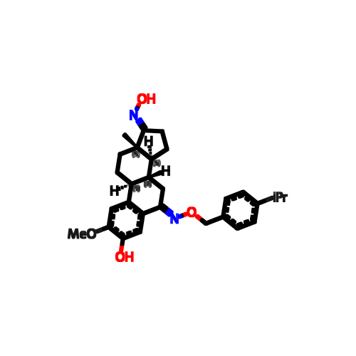 COc1cc2c(cc1O)C(=NOCc1ccc(C(C)C)cc1)C[C@@H]1[C@@H]2CC[C@]2(C)C(=NO)CC[C@@H]12